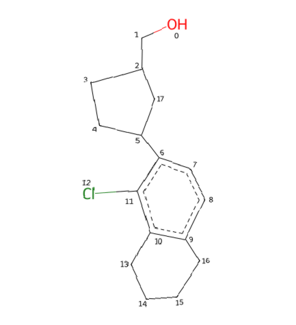 OCC1CCC(c2ccc3c(c2Cl)CCCC3)C1